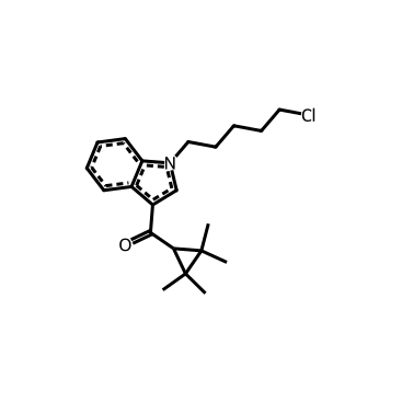 CC1(C)C(C(=O)c2cn(CCCCCCl)c3ccccc23)C1(C)C